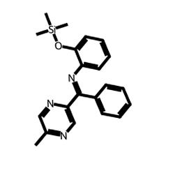 Cc1cnc(C(=Nc2ccccc2O[Si](C)(C)C)c2ccccc2)cn1